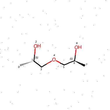 C[C@H](O)COC[C@H](C)O